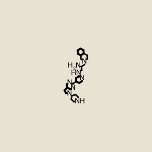 NC(CNc1cc(-c2ncc3ccn(C4CCNCC4)c3n2)ccn1)CN1CCc2ccccc2C1